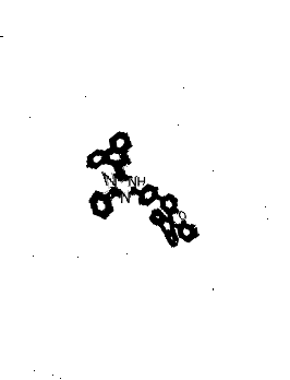 c1ccc(C2=NC(c3ccc(-c4ccc5c(c4)C4(c6ccccc6O5)c5ccccc5-c5ccccc54)cc3)NC(c3cc4ccccc4c4ccccc34)=N2)cc1